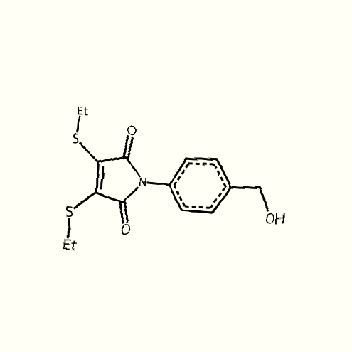 CCSC1=C(SCC)C(=O)N(c2ccc(CO)cc2)C1=O